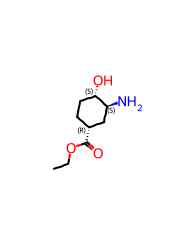 CCOC(=O)[C@@H]1CC[C@H](O)[C@@H](N)C1